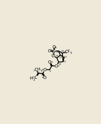 C=C(C)C(=O)OCC(=O)OC1C2CC3C1OS(=O)(=O)C3C2C(F)(F)F